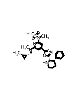 C[C@@H]1C[C@H]1CN(C)c1cc(-c2nnc([C@H]3NCCC[C@H]3c3ccccc3)o2)cc(N(C)S(C)(=O)=O)n1